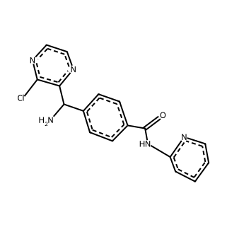 NC(c1ccc(C(=O)Nc2ccccn2)cc1)c1nccnc1Cl